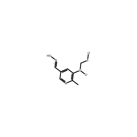 Cc1ncc(/C=N/O)cc1[S+]([O-])CSCl